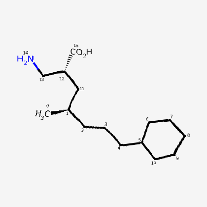 C[C@H](CCCC1CCCCC1)C[C@H](CN)C(=O)O